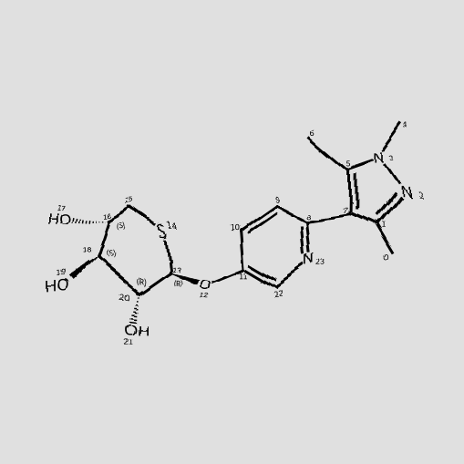 Cc1nn(C)c(C)c1-c1ccc(O[C@@H]2SC[C@@H](O)[C@H](O)[C@H]2O)cn1